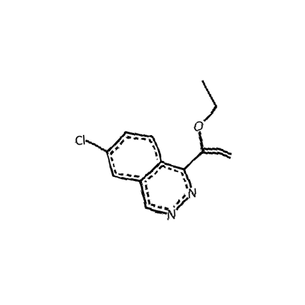 C=C(OCC)c1nncc2cc(Cl)ccc12